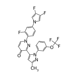 Cc1cc(-c2nn(-c3ccc(-n4cc(F)c(F)c4)cc3F)ccc2=O)n(-c2cccc(OC(F)(F)F)c2)n1